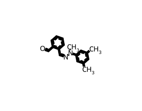 Cc1cc(C)cc(N(C)/N=C\c2ccccc2C=O)c1